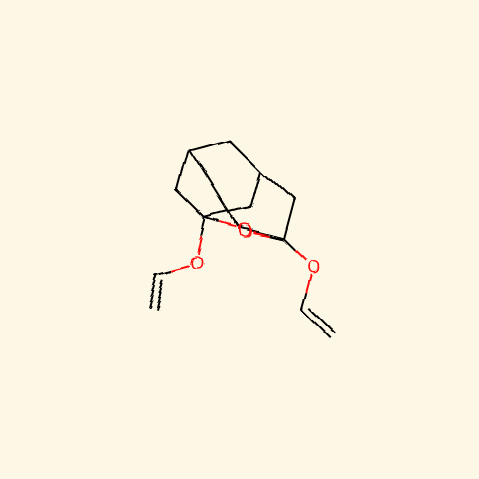 C=COC12CC3CC(C1)CC(OC=C)(C3)O2